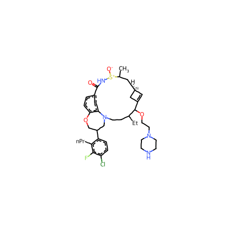 CCCc1c(C2COc3ccc4cc3N(CCC(CC)C(OCCN3CCNCC3)C3=C[C@@H](C3)CC(C)[S+]([O-])NC4=O)C2)ccc(Cl)c1F